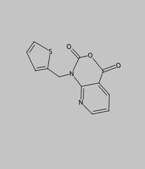 O=c1oc(=O)n(Cc2cccs2)c2ncccc12